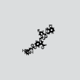 CC(=O)c1cn(CC(=O)N2C[C@H](F)C[C@H]2C(=O)NCc2cccc(Cl)c2F)c2ccc(OC(=O)NCc3nnn[nH]3)cc12